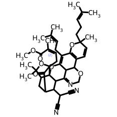 COC(=O)/C(C)=C\CC12OC(C)(C)C3CC(C1=O)C(C(C#N)C#N)C1C4=NCOC5C6=C(OC(C)(CCC=C(C)C)C=C6)C(CC=C(C)C)=C(OC132)C45